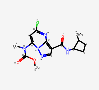 COC1CCC1NC(=O)c1cnn2c(N(C)C(=O)OC(C)(C)C)cc(Cl)nc12